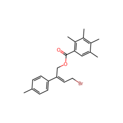 Cc1ccc(C(=CCBr)COC(=O)c2cc(C)c(C)c(C)c2C)cc1